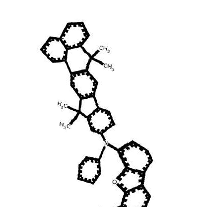 Cc1cccc2c1oc1c(N(c3ccccc3)c3ccc4c(c3)C(C)(C)c3cc5c(cc3-4)C(C)(C)c3cccc4cccc-5c34)cccc12